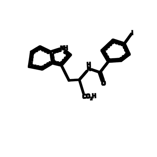 O=C(NC(Cc1c[nH]c2ccccc12)C(=O)O)c1ccc(I)cc1